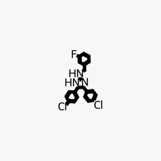 Fc1cccc(CNC2=NC(c3ccc(Cl)cc3)C(c3ccc(Cl)cc3)N2)c1